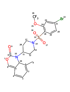 CC1=CC=CC2=COC(=O)N(C3CCN(S(=O)(=O)c4ccc(Br)cc4OC(F)(F)F)CC3)C12